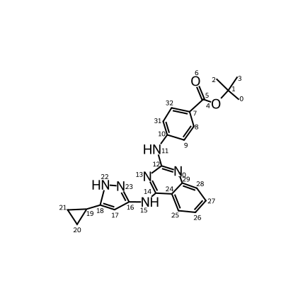 CC(C)(C)OC(=O)c1ccc(Nc2nc(Nc3cc(C4CC4)[nH]n3)c3ccccc3n2)cc1